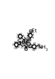 CCOc1ccc(CC(NC(=O)c2ccccc2)C(=O)NC(Cc2csc3ccccc23)C(=O)NCc2ccc(CN)cc2)cc1